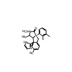 CCCCC1NC(=O)[N+](Cc2ccc(C#N)cc2)(c2cccc(C)c2C)C1Cc1ncc[nH]1.Cl